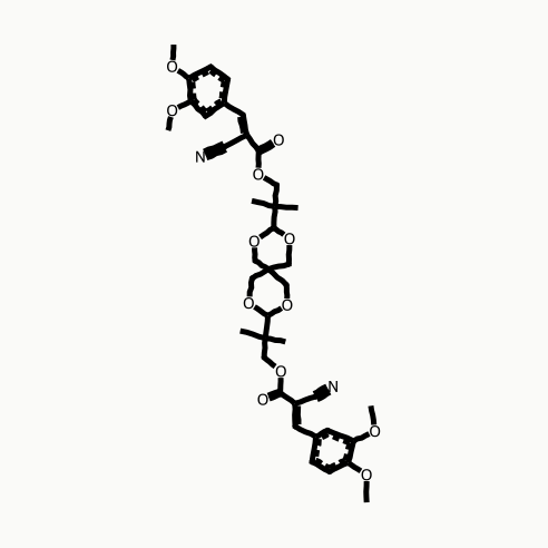 COc1ccc(C=C(C#N)C(=O)OCC(C)(C)C2OCC3(CO2)COC(C(C)(C)COC(=O)/C(C#N)=C/c2ccc(OC)c(OC)c2)OC3)cc1OC